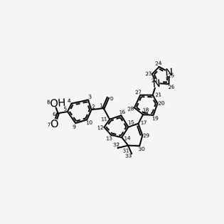 C=C(c1ccc(C(=O)O)cc1)c1ccc2c(c1)C(c1ccc(-n3ccnc3)cc1)=CCC2(C)C